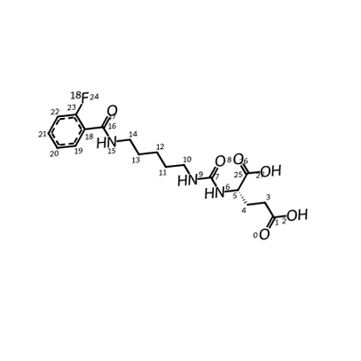 O=C(O)CC[C@H](NC(=O)NCCCCCNC(=O)c1ccccc1[18F])C(=O)O